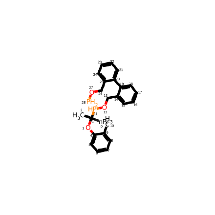 CCCC(C)(Oc1ccccc1C)POCc1ccccc1-c1ccccc1COP